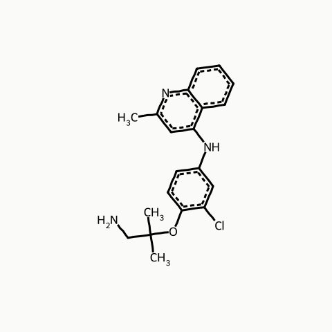 Cc1cc(Nc2ccc(OC(C)(C)CN)c(Cl)c2)c2ccccc2n1